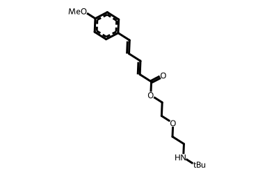 COc1ccc(/C=C/C=C/C(=O)OCCOCCNC(C)(C)C)cc1